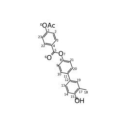 CC(=O)Oc1ccc(C(=O)Oc2ccc(-c3ccc(O)c(C)c3)cc2)cc1